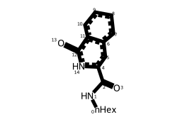 CCCCCCNC(=O)c1cc2ccccc2c(=O)[nH]1